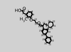 Cc1c(CC(=O)O)cccc1OCCO/N=C(\CN1CCCCC1)c1ccc(-c2ccccc2)cc1